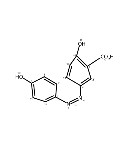 O=C(O)c1cc(/N=N\c2ccc(O)cc2)ccc1O